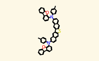 Cc1ccc(N(c2ccc3cc4sc5cc6ccc(N(c7ccc(C)cc7)c7cccc8c7oc7ccccc78)cc6cc5c4cc3c2)c2cccc3c2oc2ccccc23)cc1